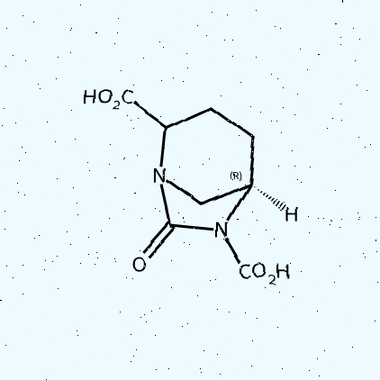 O=C(O)C1CC[C@@H]2CN1C(=O)N2C(=O)O